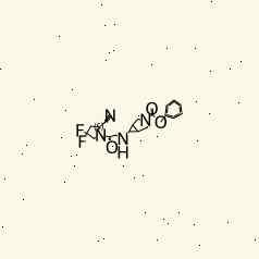 N#C[C@@H]1CC(F)(F)CN1C(=O)CNC1C2CN(C(=O)Oc3ccccc3)CC21